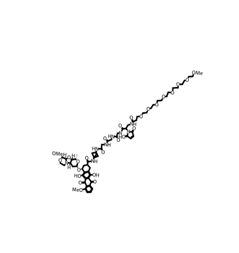 COCCOCCOCCOCCOCCOCCOCCOCCC(=O)NCC(C(=O)NCC(=O)NCC(=O)NCC(=O)NC12CC(NC(=O)C3Cc4c(O)c5c(c(O)c4[C@@H](O[C@H]4C[C@H]6[C@H](O[C@@H]7[C@@H](OC)OCCN76)[C@H](C)O4)C3)C(=O)c3c(OC)cccc3C5=O)(C1)C2)N1C(=O)C=CC1=O